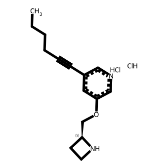 CCCCC#Cc1cncc(OC[C@@H]2CCN2)c1.Cl.Cl